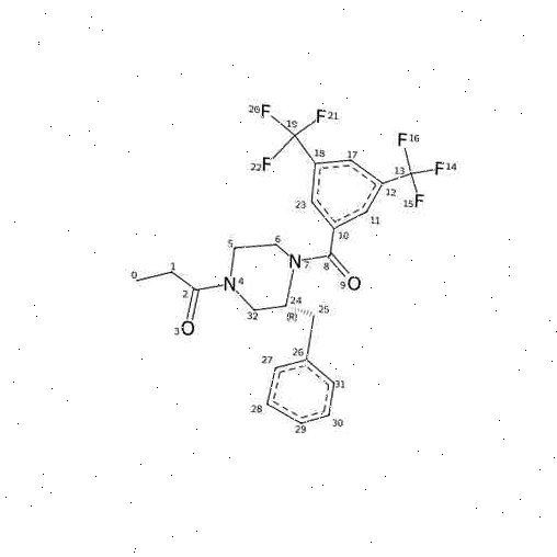 CCC(=O)N1CCN(C(=O)c2cc(C(F)(F)F)cc(C(F)(F)F)c2)[C@H](Cc2ccccc2)C1